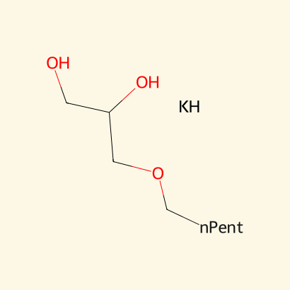 CCCCCCOCC(O)CO.[KH]